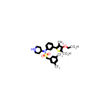 Cc1c(-c2cccc(N(C3CCNCC3)S(=O)(=O)Cc3cc(C(F)(F)F)cc(C(F)(F)F)c3)c2)sc(C(=O)O)c1OCC(=O)O